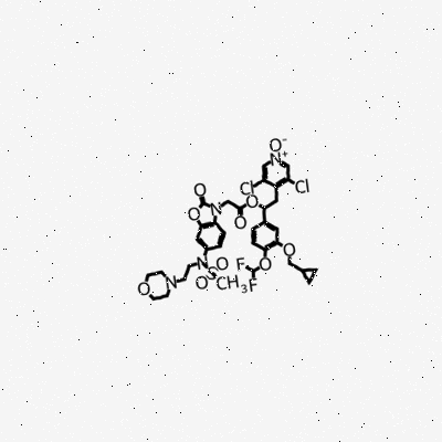 CS(=O)(=O)N(CCN1CCOCC1)c1ccc2c(c1)oc(=O)n2CC(=O)OC(Cc1c(Cl)c[n+]([O-])cc1Cl)c1ccc(OC(F)F)c(OCC2CC2)c1